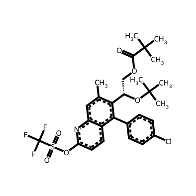 Cc1cc2nc(OS(=O)(=O)C(F)(F)F)ccc2c(-c2ccc(Cl)cc2)c1[C@H](COC(=O)C(C)(C)C)OC(C)(C)C